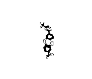 O=[N+]([O-])c1ccc(Oc2cccc(-c3nc(C(F)(F)F)cs3)c2)c(Cl)c1